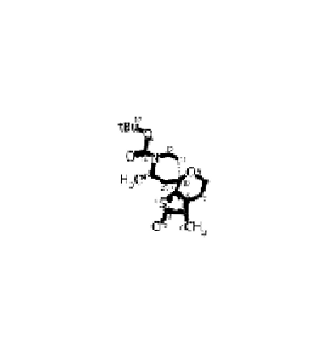 Cc1c(Cl)sc2c1CCO[C@@]21CCN(C(=O)OC(C)(C)C)[C@@H](C)C1